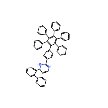 C1=CC(c2ccccc2-c2ccccc2)NC(c2ccc(-c3c(-c4ccccc4)c(-c4ccccc4)c(-c4ccccc4)c(-c4ccccc4)c3-c3ccccc3)cc2)=N1